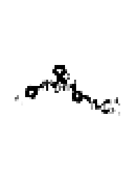 CCN(CC)CCNCc1cccc(C(=O)Nc2sc3c(c2C(=O)NN=Cc2ccc(C)cc2)CCC3)c1